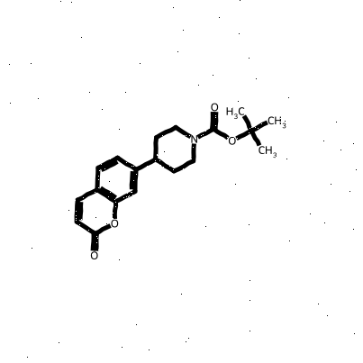 CC(C)(C)OC(=O)N1CCC(c2ccc3ccc(=O)oc3c2)CC1